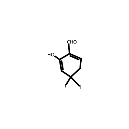 O=CC1=CCC(I)(I)C=C1O